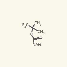 CNC(=O)OC(C)(C)C(F)(F)F